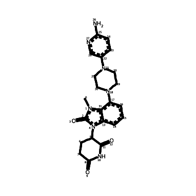 Cn1c(=O)n(C2CCC(=O)NC2=O)c2cccc(N3CCN(c4ccc(N)nc4)CC3)c21